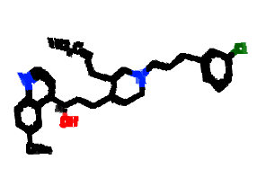 COc1ccc2nccc([C@@H](O)CCC3CCN(CCCc4cccc(Cl)c4)CC3CCC(=O)O)c2c1